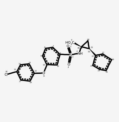 O=C(O)[C@@]1(NS(=O)(=O)c2cccc(Oc3ccc(Cl)cc3)c2)C[C@H]1c1ccccc1